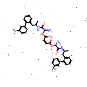 CC(Cc1ccccc1-c1cccc(C#N)c1)NC(=O)C(N)OC(=O)/C=C\C(=O)OC(N)C(=O)NC(C)Cc1ccccc1-c1cccc(C#N)c1